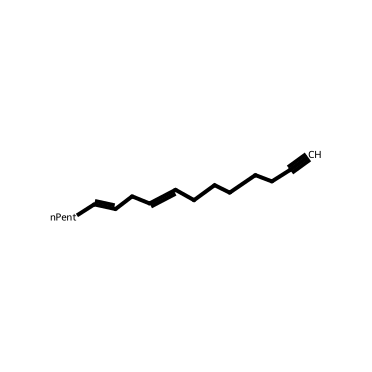 C#CCCCCCC=CCC=CCCCCC